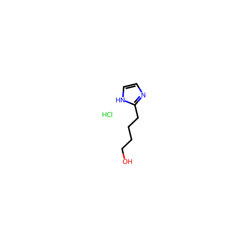 Cl.OCCCCc1ncc[nH]1